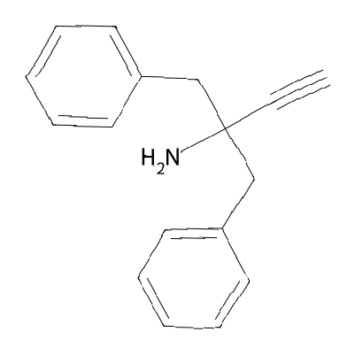 C#CC(N)(Cc1ccccc1)Cc1ccccc1